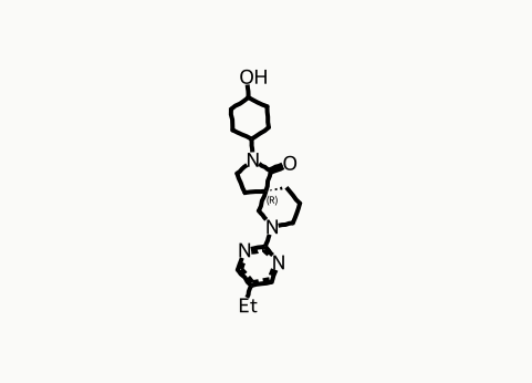 CCc1cnc(N2CCC[C@@]3(CCN(C4CCC(O)CC4)C3=O)C2)nc1